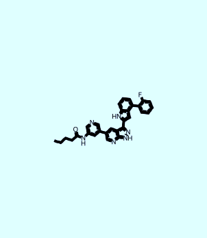 CCCCC(=O)Nc1cncc(-c2cnc3[nH]nc(-c4cc5c(-c6ccccc6F)cccc5[nH]4)c3c2)c1